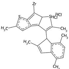 CC1=Cc2c(C)ccc(C)c2C1C1=C(C)SC2C1=c1cc(C)sc1=[C]2[Zr].Cl.Cl